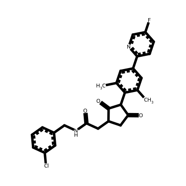 Cc1cc(-c2ccc(F)cn2)cc(C)c1C1C(=O)CC(CC(=O)NCc2cccc(Cl)c2)C1=O